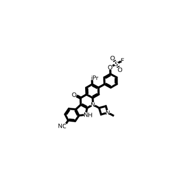 CC(C)c1cc2c(=O)c3c4ccc(C#N)cc4[nH]c3n(C3CN(C)C3)c2cc1-c1cccc(OS(=O)(=O)F)c1